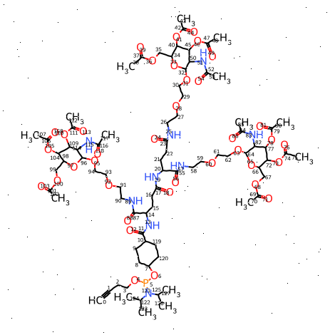 C#CCCOP(OC1CCC(C(=O)NC(CCC(=O)NC(CCC(=O)NCCOCCOC2OC(COC(C)=O)C(OC(C)=O)C(OC(C)=O)C2NC(C)=O)C(=O)NCCOCCOC2OC(COC(C)=O)C(OC(C)=O)C(OC(C)=O)C2NC(C)=O)C(=O)NCCOCCOC2OC(COC(C)=O)C(OC(C)=O)C(OC(C)=O)C2NC(C)=O)CC1)N(C(C)C)C(C)C